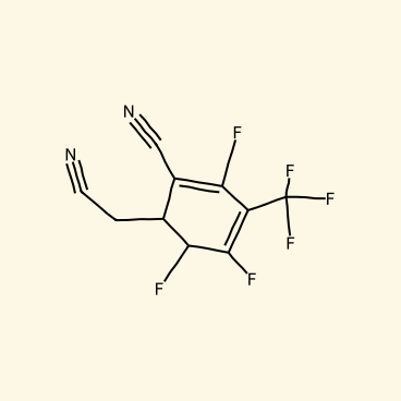 N#CCC1C(C#N)=C(F)C(C(F)(F)F)=C(F)C1F